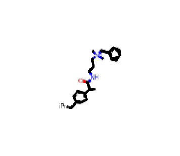 CC(C)Cc1ccc(C(C)C(=O)NCCC[N+](C)(C)Cc2ccccc2)cc1